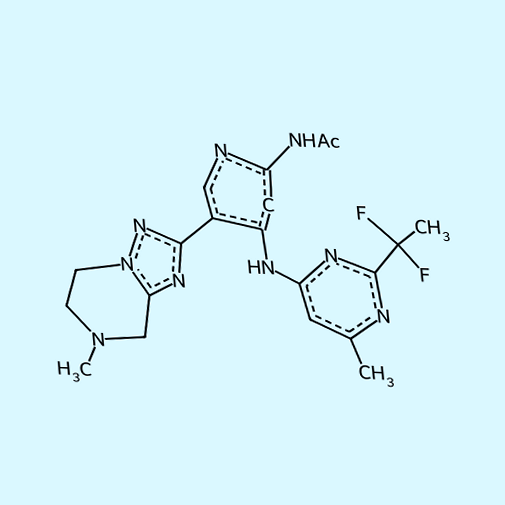 CC(=O)Nc1cc(Nc2cc(C)nc(C(C)(F)F)n2)c(-c2nc3n(n2)CCN(C)C3)cn1